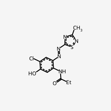 CCC(=O)Nc1cc(O)c(Cl)cc1/N=N/c1nc(C)ns1